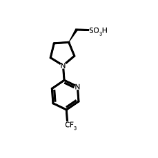 O=S(=O)(O)C[C@@H]1CCN(c2ccc(C(F)(F)F)cn2)C1